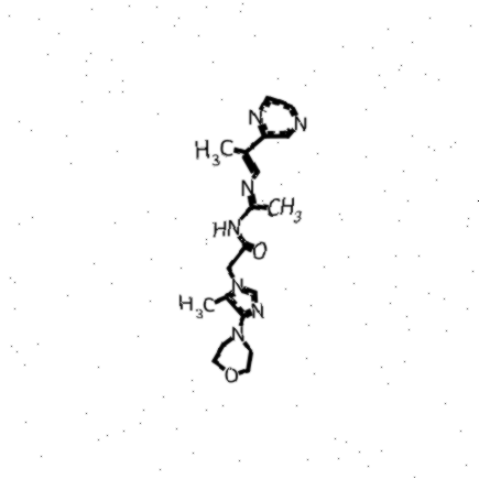 C/C(=C\N=C(/C)NC(=O)Cn1cnc(N2CCOCC2)c1C)c1cnccn1